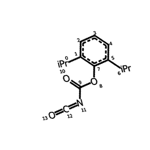 CC(C)c1cccc(C(C)C)c1OC(=O)N=C=O